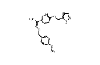 CCCOc1ccc(CON=C(C)c2ccc(OCc3nnn[nH]3)nc2)cc1